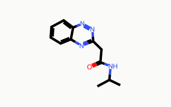 CC(C)NC(=O)Cc1nnc2ccccc2n1